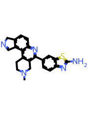 CN1CCc2c(c(-c3ccc4nc(N)sc4c3)nc3ccc4c(c23)C=NC4)C1